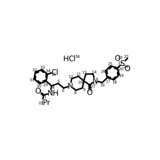 CC(C)C(=O)NC(CCN1CCC2(CC1)CCN(Cc1ccc(S(C)(=O)=O)cc1)C2=O)c1ccccc1Cl.Cl